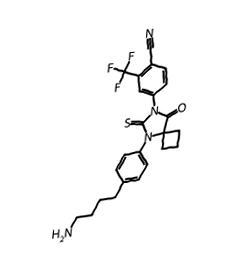 N#Cc1ccc(N2C(=O)C3(CCC3)N(c3ccc(CCCCN)cc3)C2=S)cc1C(F)(F)F